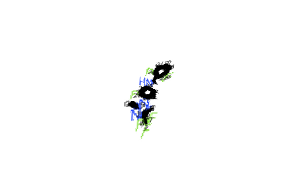 Cc1nc(C(F)(F)F)cn1-c1ccc(NCc2c(F)cccc2F)cc1F